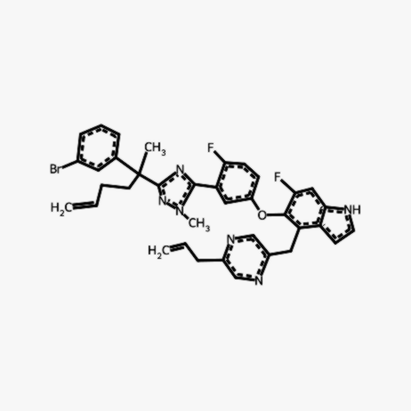 C=CCCC(C)(c1cccc(Br)c1)c1nc(-c2cc(Oc3c(F)cc4[nH]ccc4c3Cc3cnc(CC=C)cn3)ccc2F)n(C)n1